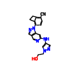 N#Cc1ccc(-n2ncc3cnc(Nc4cnn(CCO)c4)cc32)c2c1CC2